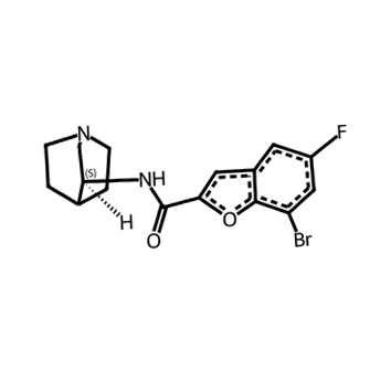 O=C(N[C@@H]1CN2CCC1CC2)c1cc2cc(F)cc(Br)c2o1